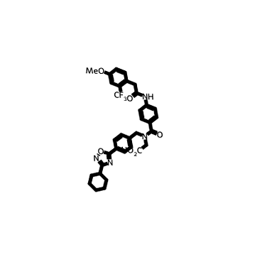 COc1ccc(CC(=O)Nc2ccc(C(=O)N(CC(=O)O)Cc3ccc(-c4nc(C5CCCCC5)no4)cc3)cc2)c(C(F)(F)F)c1